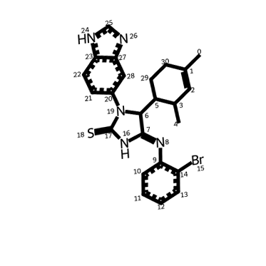 CC1=CC(C)C(C2C(=Nc3ccccc3Br)NC(=S)N2c2ccc3[nH]cnc3c2)CC1